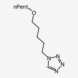 CCCCCOCCCCCn1[c]nnn1